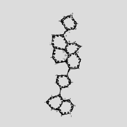 c1cc(-c2ccc(-c3ccc4ccc5c(-c6ccncc6)ccc6ccc3c4c65)cc2)c2ccncc2c1